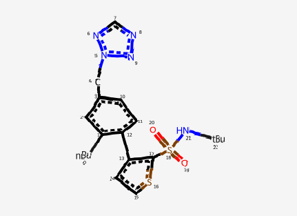 CCCCc1cc(Cn2ncnn2)ccc1-c1ccsc1S(=O)(=O)NC(C)(C)C